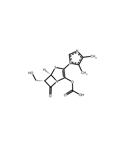 Cc1ncn(C2=C(OC(=O)O)N3C(=O)[C@H](CO)[C@H]3S2)c1C